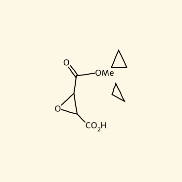 C1CC1.C1CC1.COC(=O)C1OC1C(=O)O